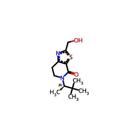 C[C@@H](N1CCc2nc(CO)sc2C1=O)C(C)(C)C